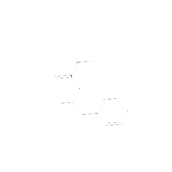 CC(C)(C)OC(=O)C(=N)CC(Cc1cccnc1)C(=O)O